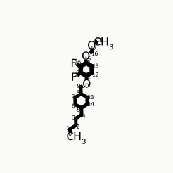 CCCCCC1CCC(COc2ccc(OCOC)c(F)c2F)CC1